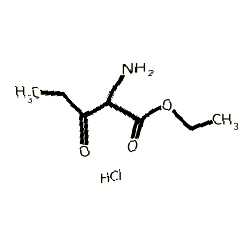 CCOC(=O)C(N)C(=O)CC.Cl